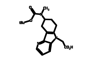 CN(C(=O)OC(C)(C)C)C1CCc2c(c3ncccc3n2CC(=O)O)C1